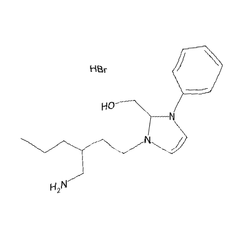 Br.CCCC(CN)CCN1C=CN(c2ccccc2)C1CO